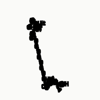 CCc1cnn2c(NCc3ccc(=O)n(CCOCCOCCOCCOCCOCCOCCOCCOCCN4C(=O)OCc5cnc(N[C@@H](C)c6ccc([C@H](CC7CC7)N7CCNCC7)cc6)nc54)c3)cc(N3CCCC[C@H]3CCO)nc12